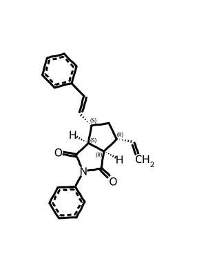 C=C[C@H]1C[C@@H](C=Cc2ccccc2)[C@@H]2C(=O)N(c3ccccc3)C(=O)[C@@H]21